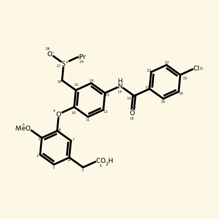 COc1ccc(CC(=O)O)cc1Oc1ccc(NC(=O)c2ccc(Cl)cc2)cc1C[S+]([O-])C(C)C